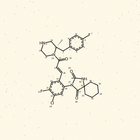 C[C@@]1(Cc2ccc(F)cc2)CNCCN1C(=O)C=Cc1cc(F)c(Cl)cc1N1C(=O)NC2(CCCCC2)C1=O